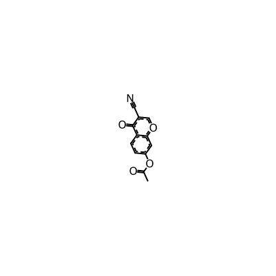 CC(=O)Oc1ccc2c(=O)c(C#N)coc2c1